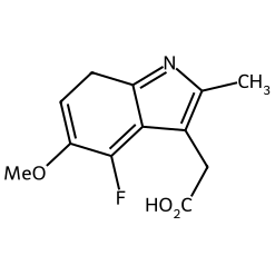 COC1=CCC2=NC(C)=C(CC(=O)O)C2=C1F